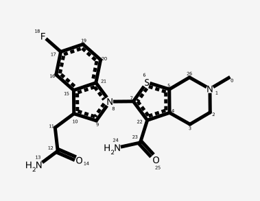 CN1CCc2c(sc(-n3cc(CC(N)=O)c4cc(F)ccc43)c2C(N)=O)C1